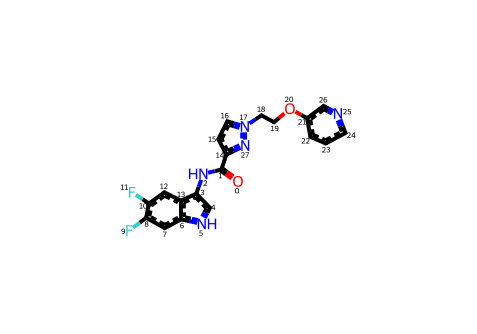 O=C(Nc1c[nH]c2cc(F)c(F)cc12)c1ccn(CCOc2cccnc2)n1